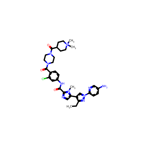 CCc1nn(-c2ccc(N)cn2)cc1-c1cnc(C(=O)Nc2ccc(C(=O)N3CCN(C(=O)C4CC[N+](C)(C)CC4)CC3)c(Cl)c2)n1C